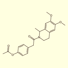 COc1cc2c(cc1OC)C(C)N(C(=O)Cc1ccc(OC(C)=O)cc1)CC2